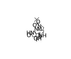 CC(C)(C)OC(=O)N1CCC[C@H](C(=N)C2=C(N)NC(=O)CC2(O)C(F)(F)F)C1